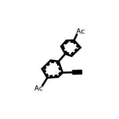 C#Cc1cc(C(C)=O)ccc1-c1ccc(C(C)=O)cc1